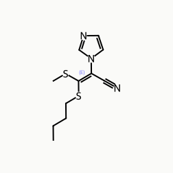 CCCCS/C(SC)=C(\C#N)n1ccnc1